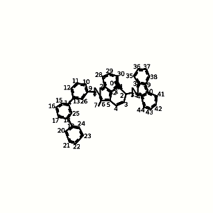 C#CC(/C=C\c1c(C)n(-c2cccc(-c3cccc(-c4ccccc4)c3)c2)c2ccccc12)n1c2ccccc2c2ccccc21